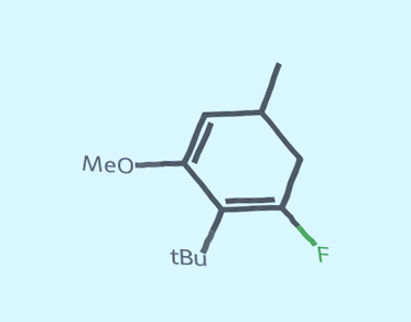 COC1=CC(C)CC(F)=C1C(C)(C)C